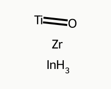 [InH3].[O]=[Ti].[Zr]